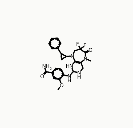 COc1cc(C(N)=O)ccc1NC1NCC2=C(N1)N(C1CC1c1ccccc1)CC(F)(F)C(=O)N2C